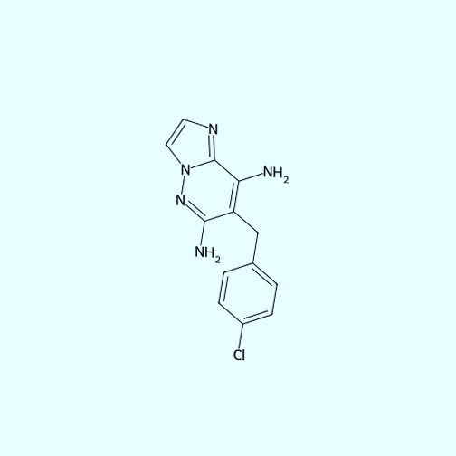 Nc1nn2ccnc2c(N)c1Cc1ccc(Cl)cc1